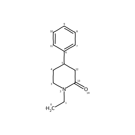 [CH2]CN1CCC(c2ccccc2)CC1=O